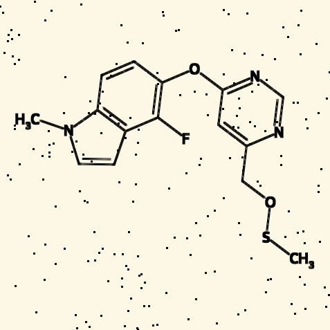 CSOCc1cc(Oc2ccc3c(ccn3C)c2F)ncn1